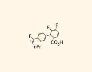 CCC/C=C(/F)c1ccc(-c2c(C(=O)O)ccc(F)c2F)cc1